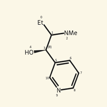 CCC(NC)[C@H](O)c1cccnc1